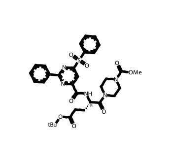 COC(=O)N1CCN(C(=O)[C@H](CCC(=O)OC(C)(C)C)NC(=O)c2cc(S(=O)(=O)c3ccccc3)nc(-c3ccccc3)n2)CC1